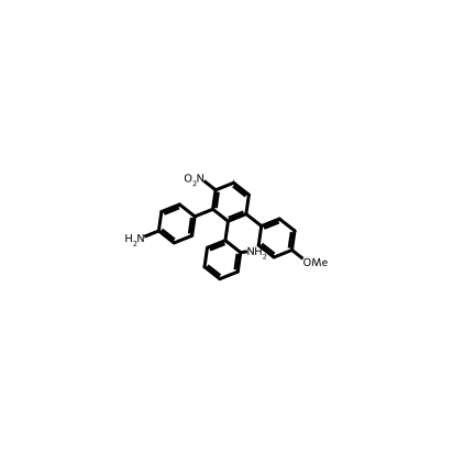 COc1ccc(-c2c[c]c([N+](=O)[O-])c(-c3ccc(N)cc3)c2-c2ccccc2N)cc1